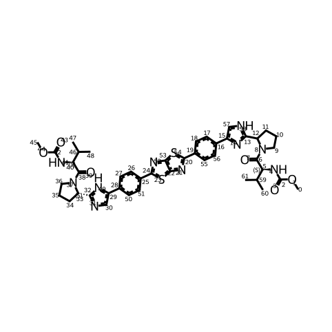 COC(=O)N[C@H](C(=O)N1CCCC1c1nc(-c2ccc(-c3nc4sc(-c5ccc(-c6cnc([C@@H]7CCCN7C(=O)[C@@H](NC(=O)OC)C(C)C)[nH]6)cc5)nc4s3)cc2)c[nH]1)C(C)C